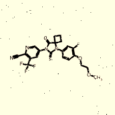 COCCOc1ccc(N2C(=S)N(c3cnc(C#N)c(C(F)(F)F)c3)C(=O)C23CCC3)cc1F